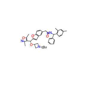 Cc1ccc(C(NC(=O)Cc2ccc3oc(C(OC4CN(C(C)(C)C)C4)c4c(C)noc4C)cc3c2)c2ccccc2)c(C)c1